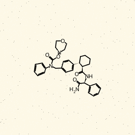 NC(=O)[C@@H](NC(=O)[C@@H]1CCCC[C@H]1c1ccc(CN(C(=O)ON2CCOCC2)c2ccccc2)cc1)c1ccccc1